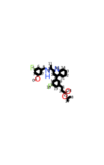 COc1cc(F)cc(CNC(C)c2cc(-c3cc(F)cc(CCC(=O)OC(C)C)c3)c3ccccc3n2)c1